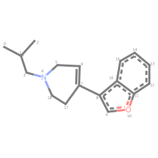 C[C](C)CN1CC=C(c2coc3ccccc23)CC1